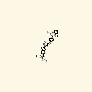 CN(C)Cc1ccc2oc(N(C=O)CCOc3ccc(C(=O)Nc4ccccc4N)cc3)cc2c1